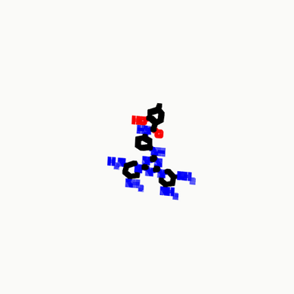 Cc1ccc(C(=O)Nc2cccc(Nc3nc(N4C[C@H](N)C[C@H](N)C4)nc(N4C[C@H](N)C[C@H](N)C4)n3)c2)c(O)c1